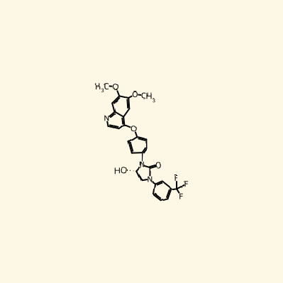 COc1cc2nccc(Oc3ccc(N4C(=O)N(c5cccc(C(F)(F)F)c5)C[C@@H]4O)cc3)c2cc1OC